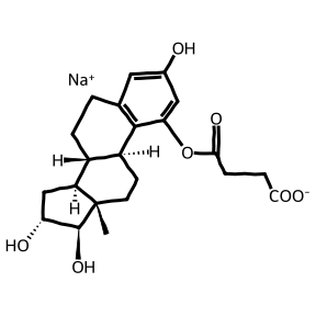 C[C@]12CC[C@@H]3c4c(cc(O)cc4OC(=O)CCC(=O)[O-])CC[C@H]3[C@@H]1C[C@@H](O)[C@@H]2O.[Na+]